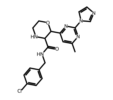 Cc1cc(C2OCCNC2C(=O)NCc2ccc(Cl)cc2)nc(-n2ccnc2)n1